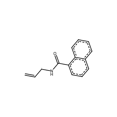 C=C[CH]NC(=O)c1cccc2ccccc12